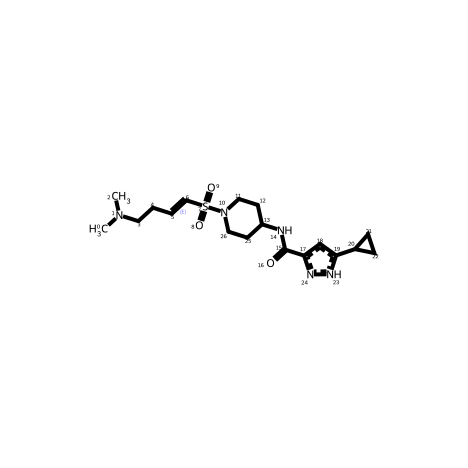 CN(C)CC/C=C/S(=O)(=O)N1CCC(NC(=O)c2cc(C3CC3)[nH]n2)CC1